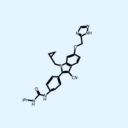 CC(C)NC(=O)Nc1ccc(-c2c(C#N)c3ccc(OCc4ncn[nH]4)cc3n2CC2CC2)cc1